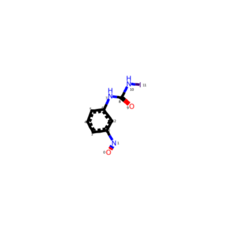 O=Nc1cccc(NC(=O)NI)c1